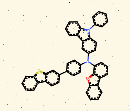 c1ccc(-n2c3ccccc3c3cc(N(c4ccc(-c5ccc6c(c5)sc5ccccc56)cc4)c4cccc5c4oc4ccccc45)ccc32)cc1